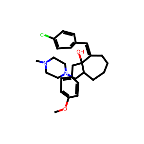 COc1ccc(CC2(O)/C(=C\c3ccc(Cl)cc3)CCCCC2CN2CCN(C)CC2)cc1